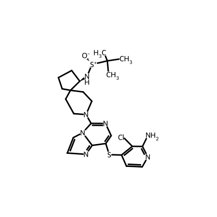 CC(C)(C)[S@@+]([O-])N[C@@H]1CCCC12CCN(c1ncc(Sc3ccnc(N)c3Cl)c3nccn13)CC2